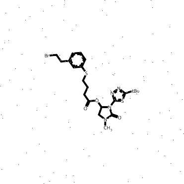 CN1CC(OC(=O)CCCSc2cccc(CCBr)c2)N(c2nnc(C(C)(C)C)s2)C1=O